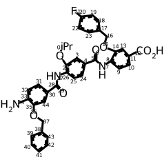 CC(C)Oc1cc(C(=O)Nc2ccc(C(=O)O)cc2OCc2ccc(F)cc2)ccc1NC(=O)c1ccc(N)c(OCc2ccccc2)c1